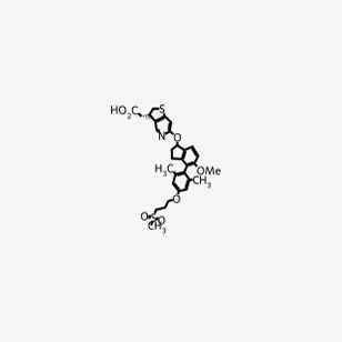 COc1ccc2c(c1-c1c(C)cc(OCCCS(C)(=O)=O)cc1C)CCC2Oc1cc2c(cn1)[C@H](CC(=O)O)CS2